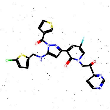 O=C(Cn1cc(F)cc(-c2cc(NCc3ccc(Cl)s3)n(C(=O)c3ccsc3)n2)c1=O)c1ccncn1